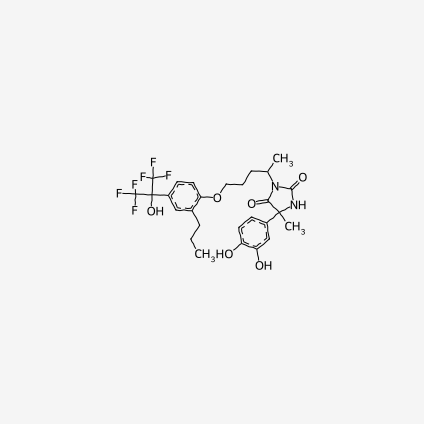 CCCc1cc(C(O)(C(F)(F)F)C(F)(F)F)ccc1OCCCC(C)N1C(=O)NC(C)(c2ccc(O)c(O)c2)C1=O